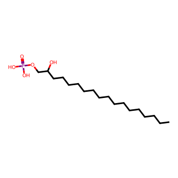 CCCCCCCCCCCCCCCCC(O)COP(=O)(O)O